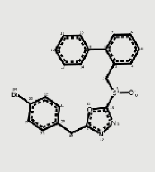 [O-][S+](Cc1ccccc1-c1ccccc1)c1nnc(Cc2ccc(Br)cc2)o1